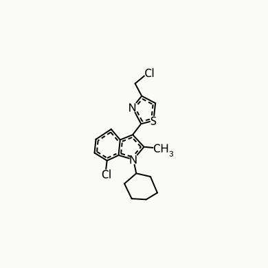 Cc1c(-c2nc(CCl)cs2)c2cccc(Cl)c2n1C1CCCCC1